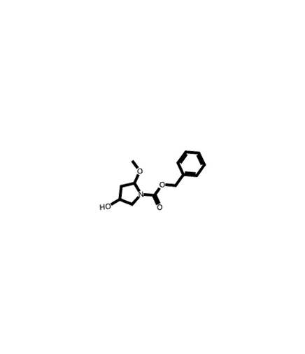 COC1CC(O)CN1C(=O)OCc1ccccc1